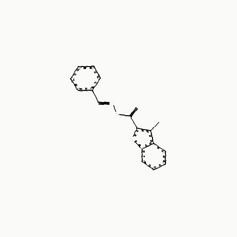 Cc1c(C(=O)NN=Cc2ccccc2)[nH]c2ccccc12